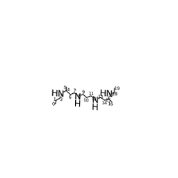 CCCNC(C)CCNCCCNCCC(C)NCC